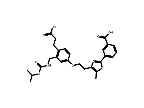 Cc1oc(-c2cccc(C(=O)O)c2)nc1CCOc1ccc(CCC(=O)O)c(CNC(=O)OC(C)C)c1